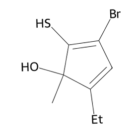 CCC1=CC(Br)=C(S)C1(C)O